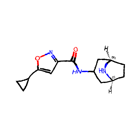 O=C(NC1C[C@H]2CC[C@@H](C1)N2)c1cc(C2CC2)on1